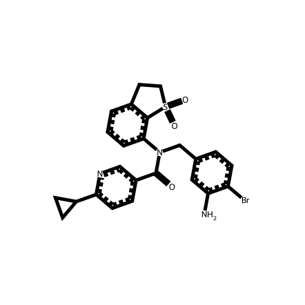 Nc1cc(CN(C(=O)c2ccc(C3CC3)nc2)c2cccc3c2S(=O)(=O)CC3)ccc1Br